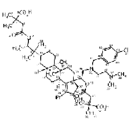 CCCC[C@H](OC(=O)CC(C)(C)C(=O)O)C(C)(C)[C@@H]1CC[C@]2(C)[C@H](CC[C@@H]3C4=C(C(C)C)C(=O)C[C@]4([C@@H](CN(CCN(C)C)Cc4ccc(Cl)cc4)OC(=O)CC(C)(C)C(=O)O)CC[C@]32C)C1